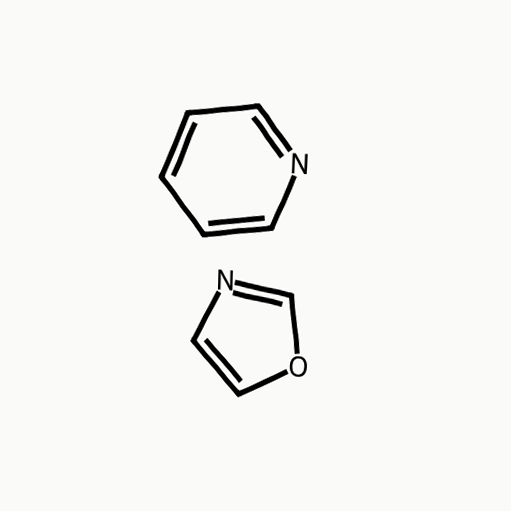 c1ccncc1.c1cocn1